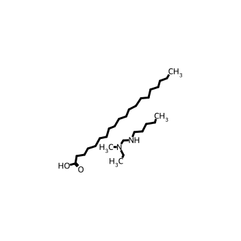 CCCCCCCCCCCCCCCCCCCC(=O)O.CCCCCNCN(C)CC